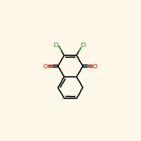 O=C1C2=CC=CCC2C(=O)C(Cl)=C1Cl